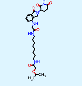 CC(C)OCC(=O)NCCCCCCCCNC(=O)CNc1cccc2c1CN(C1CCC(=O)NC1=O)C2=O